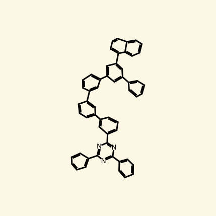 c1ccc(-c2cc(-c3cccc(-c4cccc(-c5cccc(-c6nc(-c7ccccc7)nc(-c7ccccc7)n6)c5)c4)c3)cc(-c3cccc4ccccc34)c2)cc1